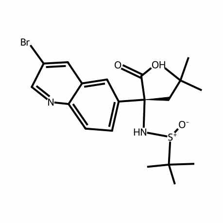 CC(C)(C)C[C@](N[S+]([O-])C(C)(C)C)(C(=O)O)c1ccc2ncc(Br)cc2c1